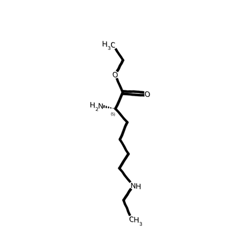 CCNCCCC[C@H](N)C(=O)OCC